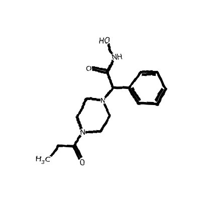 CCC(=O)N1CCN(C(C(=O)NO)c2ccccc2)CC1